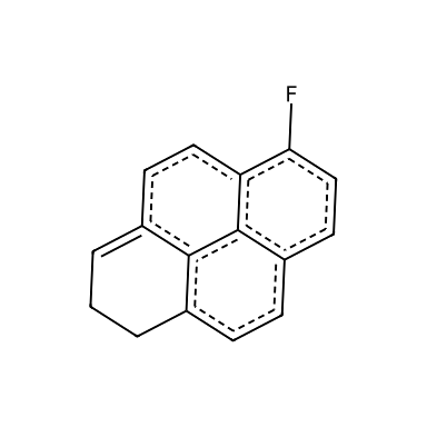 Fc1ccc2ccc3c4c(ccc1c24)=CCC3